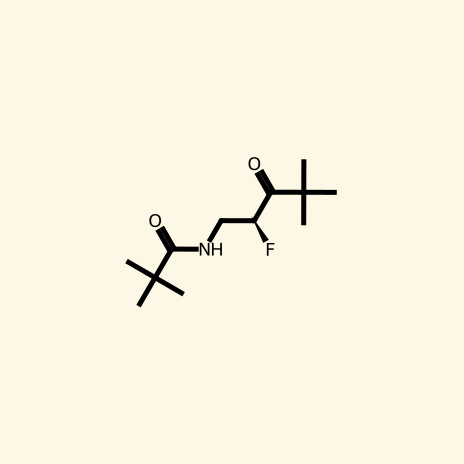 CC(C)(C)C(=O)NC[C@H](F)C(=O)C(C)(C)C